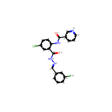 O=C(Nc1ccc(Cl)cc1C(=O)NN=Cc1cccc(F)c1)c1cccnc1